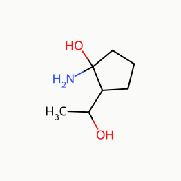 CC(O)C1CCCC1(N)O